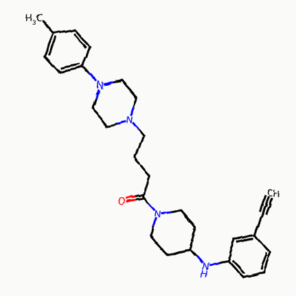 C#Cc1cccc(NC2CCN(C(=O)CCCN3CCN(c4ccc(C)cc4)CC3)CC2)c1